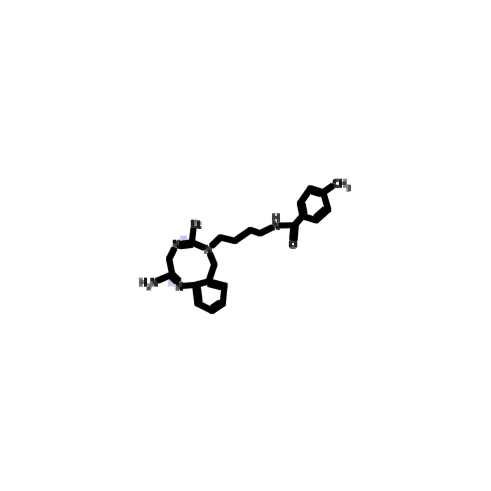 CC/C1=N/C/C(N)=N\c2ccccc2CN1CCCCNC(=O)c1ccc(C)cc1